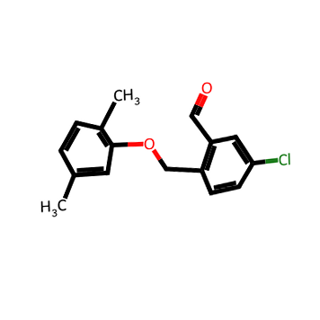 Cc1ccc(C)c(OCc2ccc(Cl)cc2C=O)c1